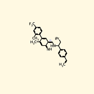 C=Cc1ccc(C(CC(C)C)N/C=C2/C=C(c3ccc(C(F)(F)F)cc3C)C(C)=CC2=N)cc1